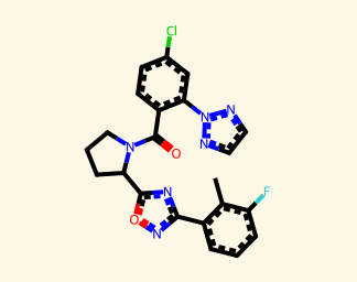 Cc1c(F)cccc1-c1noc(C2CCCN2C(=O)c2ccc(Cl)cc2-n2nccn2)n1